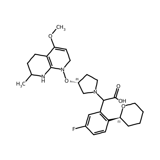 COC1=CCN(O[C@@H]2CCN(C(C(=O)O)c3cc(F)ccc3[C@@H]3CCCCO3)C2)C2=C1CCC(C)N2